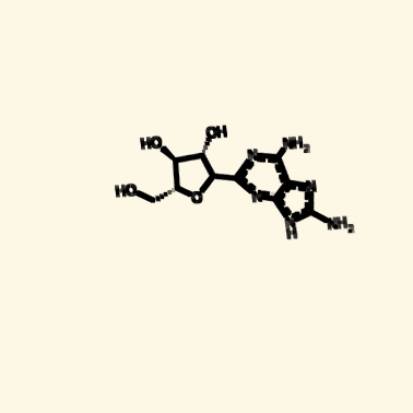 Nc1nc2c(N)nc(C3O[C@H](CO)[C@@H](O)[C@@H]3O)nc2[nH]1